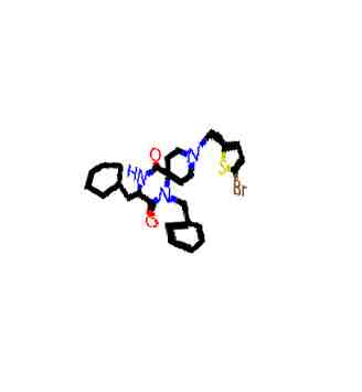 O=C1C(CC2CCCCC2)NC(=O)C2(CCN(Cc3ccc(Br)s3)CC2)N1Cc1ccccc1